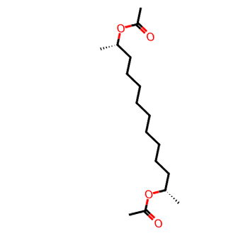 CC(=O)O[C@@H](C)CCCCCCCCC[C@H](C)OC(C)=O